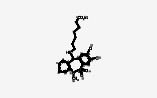 CCOC(=O)CCCCCCNC1c2ccccc2N(C)S(=O)(=O)c2cc(Cl)c(Cl)cc21